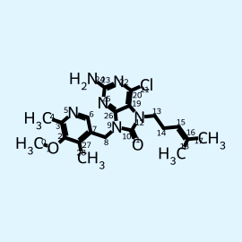 COc1c(C)ncc(Cn2c(=O)n(CCC=C(C)C)c3c(Cl)nc(N)nc32)c1C